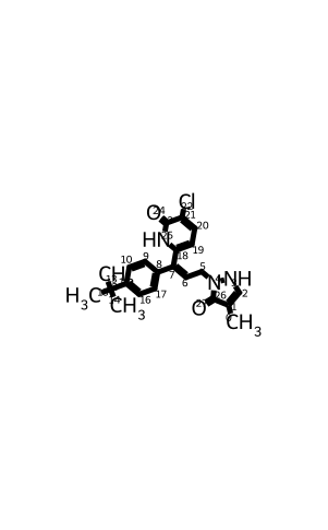 Cc1c[nH]n(C/C=C(/c2ccc(C(C)(C)C)cc2)c2ccc(Cl)c(=O)[nH]2)c1=O